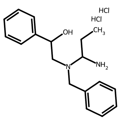 CCC(N)N(Cc1ccccc1)CC(O)c1ccccc1.Cl.Cl